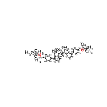 CC[Si](CC)(C1c2cccc(-c3ccc(COC(C)(C)C)cc3)c2CC1C)C1c2cccc(-c3ccc(COC(C)(C)C)cc3)c2CC1C